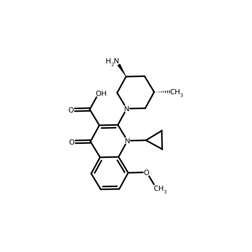 COc1cccc2c(=O)c(C(=O)O)c(N3C[C@@H](C)C[C@H](N)C3)n(C3CC3)c12